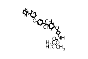 CC(C)(C)OC(=O)N[C@H]1C[C@H](Oc2ccc(C(C)(C)c3ccc(Oc4ccnc(-n5nccn5)c4)cc3)cc2)C1